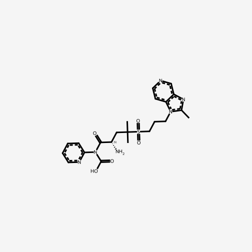 Cc1nc2cnccc2n1CCCS(=O)(=O)C(C)(C)C[C@H](N)C(=O)N(C(=O)O)c1ccccn1